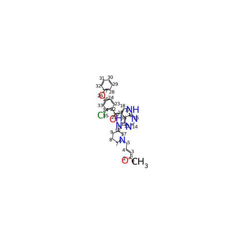 CC(=O)/C=C/CN1CCCC(Nc2ncnc3[nH]cc(C(=O)c4ccc(Oc5ccccc5)cc4Cl)c23)C1